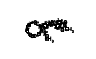 CCN1C(=O)c2cccc3c(-c4cn(-c5ccc(N6CCOCCOCCOCCOCCOCC6)c(OCCOC)c5)nn4)ccc(c23)C1=O